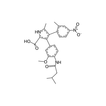 COc1cc(-c2c(C(=O)O)[nH]c(C)c2-c2ccc([N+](=O)[O-])cc2C)ccc1NC(=O)CC(C)C